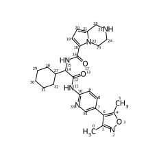 Cc1noc(C)c1-c1ccc(NC(=O)C(NC(=O)c2ccc3n2CCNC3)C2CCCCC2)nc1